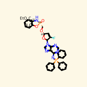 CCOC(=O)[C@H](C)N[P@](=O)(CO[C@@H]1C=C(F)C(n2cnc3c(N=P(c4ccccc4)(c4ccccc4)c4ccccc4)ncnc32)O1)Oc1ccccc1